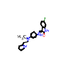 CN(CCc1ccccn1)c1ccc(NC=C2C(=O)Nc3cc(F)ccc32)cc1